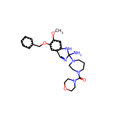 COc1cc2c(cc1OCc1ccccc1)C=NC(N)(N1CCCN(C(=O)N3CCOCC3)CC1)N2